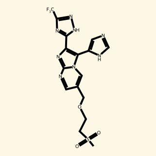 CS(=O)(=O)CCOCc1cnc2nc(-c3nc(C(F)(F)F)n[nH]3)c(-c3cnc[nH]3)n2c1